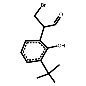 CC(C)(C)c1cccc(C(C=O)CBr)c1O